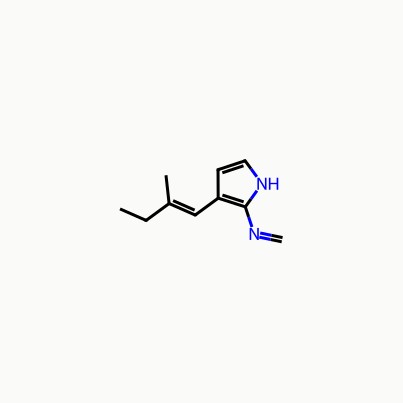 C=Nc1[nH]ccc1/C=C(\C)CC